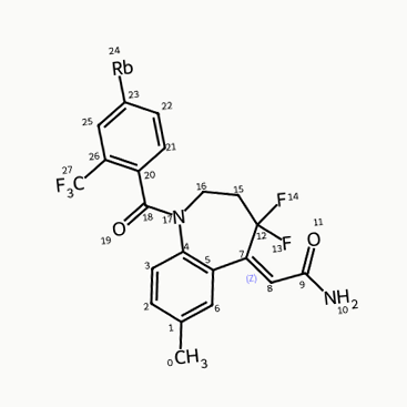 Cc1ccc2c(c1)/C(=C/C(N)=O)C(F)(F)CCN2C(=O)c1cc[c]([Rb])cc1C(F)(F)F